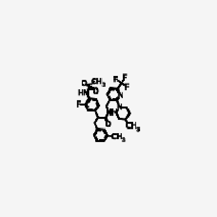 Cc1cccc(CC(C(=O)NCc2ccc(C(F)(F)F)nc2N2CCC(C)CC2)c2ccc(NS(C)(=O)=O)c(F)c2)c1